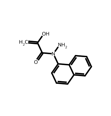 C=C(O)C(=O)N(N)c1cccc2ccccc12